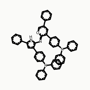 c1ccc(-c2co/c(=N\c3[nH]c(-c4ccccc4)cc3-c3ccc(N(c4ccccc4)c4ccccc4)cc3)c(-c3ccc(N(c4ccccc4)c4ccccc4)cc3)c2)cc1